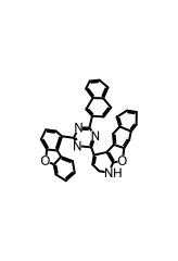 C1=C(c2nc(-c3ccc4ccccc4c3)nc(-c3cccc4oc5ccccc5c34)n2)c2c(oc3cc4ccccc4cc23)NC1